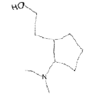 CN(C)C1CCCC1CCO